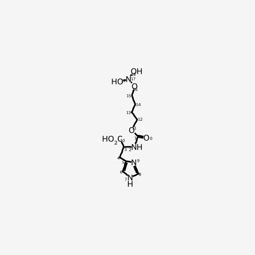 O=C(NC(Cc1c[nH]cn1)C(=O)O)OCCCCON(O)O